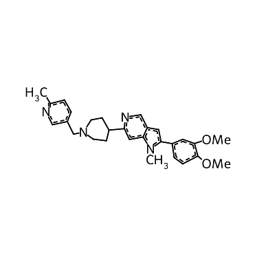 COc1ccc(-c2cc3cnc(C4CCN(Cc5ccc(C)nc5)CC4)cc3n2C)cc1OC